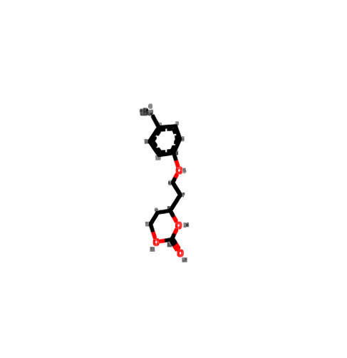 CC(C)(C)c1ccc(OCCC2CCOC(=O)O2)cc1